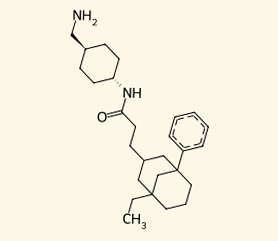 CCC12CCCC(c3ccccc3)(CC(CCC(=O)N[C@H]3CC[C@H](CN)CC3)C1)C2